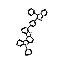 c1ccc(-c2c(-c3ccc(-c4cccc5c4oc4ccc6c(c7ccccc7n6-c6ccccc6)c45)cc3)nc3ccccn23)cc1